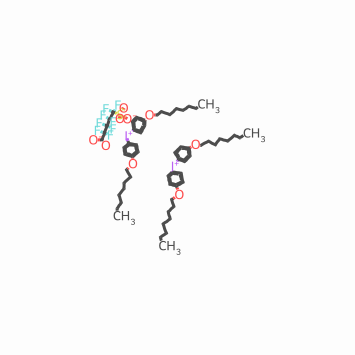 CCCCCCCCOc1ccc([I+]c2ccc(OCCCCCCCC)cc2)cc1.CCCCCCCCOc1ccc([I+]c2ccc(OCCCCCCCC)cc2)cc1.O=C([O-])C(F)(F)C(F)(F)C(F)(F)C(F)(F)S(=O)(=O)[O-]